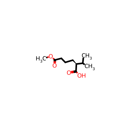 COC(=O)CCC[C@H](C(=O)O)C(C)C